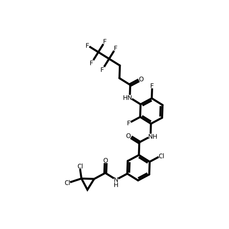 O=C(CCC(F)(F)C(F)(F)F)Nc1c(F)ccc(NC(=O)c2cc(NC(=O)C3CC3(Cl)Cl)ccc2Cl)c1F